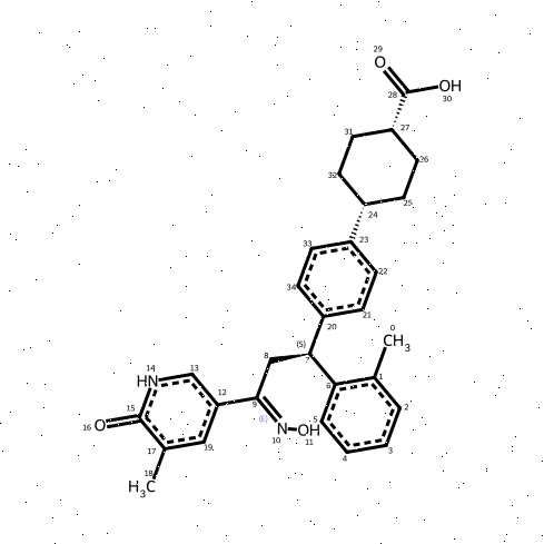 Cc1ccccc1[C@@H](C/C(=N\O)c1c[nH]c(=O)c(C)c1)c1ccc([C@H]2CC[C@@H](C(=O)O)CC2)cc1